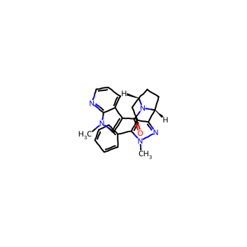 Cn1nc2c(c1-c1ccccc1)C[C@@H]1CC[C@H]2N1C(=O)c1cn(C)c2ncccc12